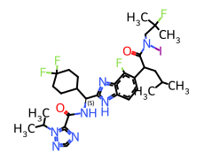 CC(C)CC(C(=O)N(I)CC(C)(C)F)c1ccc2[nH]c([C@@H](NC(=O)c3ncnn3C(C)C)C3CCC(F)(F)CC3)nc2c1F